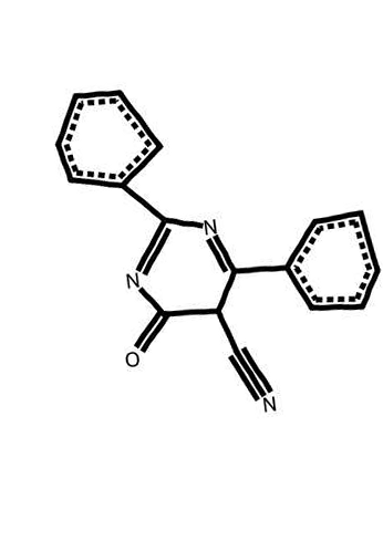 N#CC1C(=O)N=C(c2ccccc2)N=C1c1ccccc1